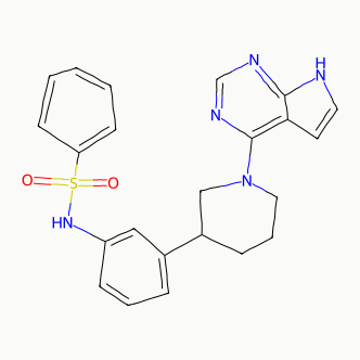 O=S(=O)(Nc1cccc(C2CCCN(c3ncnc4[nH]ccc34)C2)c1)c1ccccc1